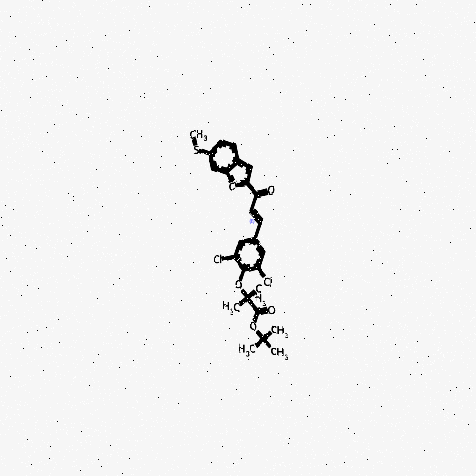 CSc1ccc2cc(C(=O)/C=C/c3cc(Cl)c(OC(C)(C)C(=O)OC(C)(C)C)c(Cl)c3)oc2c1